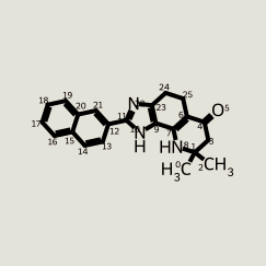 CC1(C)CC(=O)C2=C(N1)c1[nH]c(-c3ccc4ccccc4c3)nc1CC2